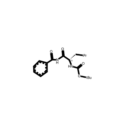 CC(C)C[C@H](NC(=O)OC(C)(C)C)C(=O)NC(=O)c1ccccc1